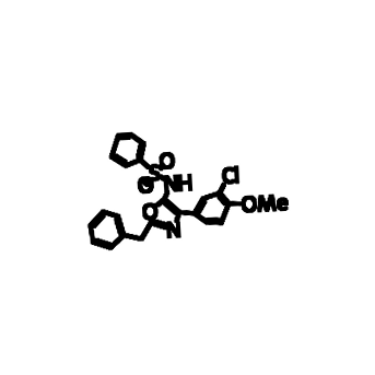 COc1ccc(-c2nc(Cc3ccccc3)oc2NS(=O)(=O)c2ccccc2)cc1Cl